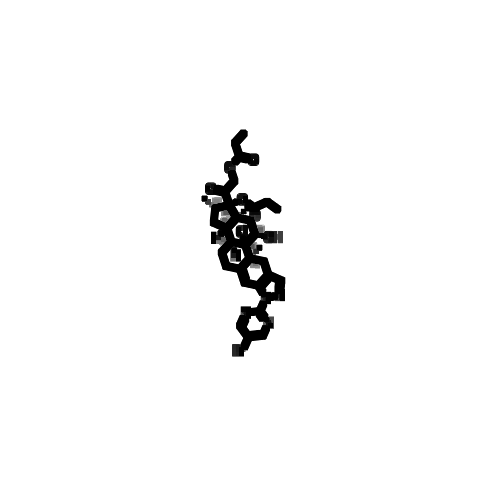 CCC(=O)OCC(=O)[C@@]1(OC(=O)CC)[C@@H](C)C[C@H]2[C@@H]3CCC4=Cc5c(cnn5-c5ncc(Br)cn5)C[C@]4(C)[C@@]3(Cl)[C@@H](O)C[C@@]21C